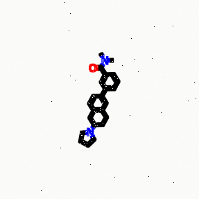 CN(C)C(=O)c1cccc(-c2ccc3c(c2)CCC(N2CCCC2)C3)c1